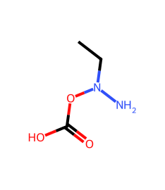 CCN(N)OC(=O)O